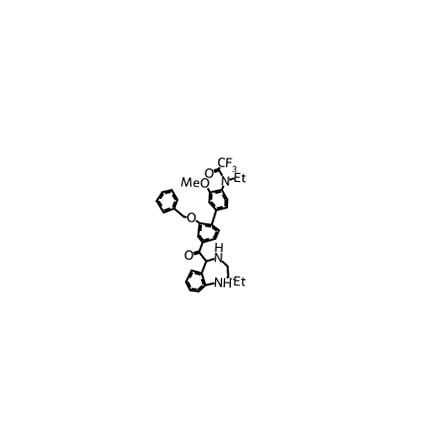 CC[C@H]1CNC(C(=O)c2ccc(-c3ccc(N(CC)C(=O)C(F)(F)F)c(OC)c3)c(OCc3ccccc3)c2)c2ccccc2N1